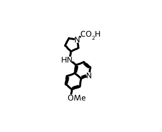 COc1ccc2c(NC3CCN(C(=O)O)C3)ccnc2c1